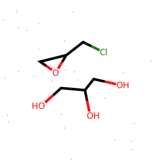 ClCC1CO1.OCC(O)CO